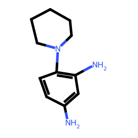 Nc1ccc(N2CCCCC2)c(N)c1